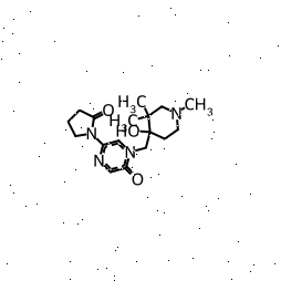 CN1CCC(O)(Cn2cc(N3CCCC3=O)ncc2=O)C(C)(C)C1